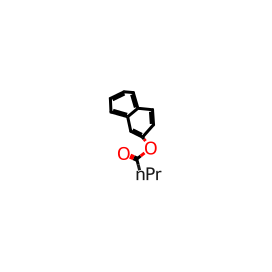 CCCC(=O)Oc1ccc2ccccc2c1